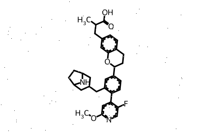 COc1cc(-c2ccc(C3CCc4ccc(CC(C)C(=O)O)cc4O3)cc2CC2CC3CCC(C2)N3)c(F)cn1